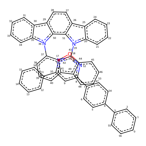 c1ccc(-c2ccc(-c3cc(-c4ccccc4)nc(-n4c5ccccc5c5ccc6c7ccccc7n(-c7cccc8c7oc7ccccc78)c6c54)n3)cc2)cc1